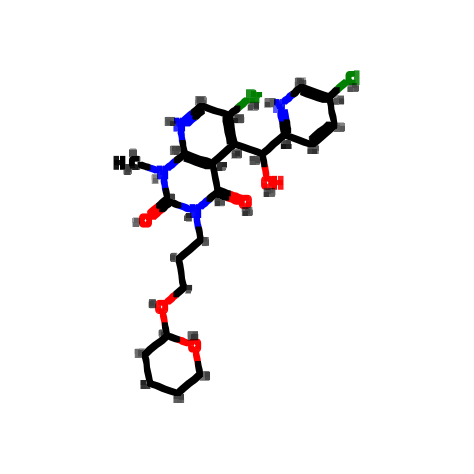 Cn1c(=O)n(CCCOC2CCCCO2)c(=O)c2c(C(O)c3ccc(Cl)cn3)c(Br)cnc21